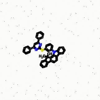 CC1(C)c2ccccc2-c2ccc3c4ccccc4n(-c4cccc(Sc5nc(-c6ccccc6)cc(-c6ccccc6)n5)c4)c3c21